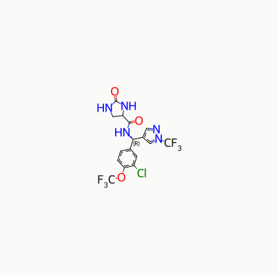 O=C1NCC(C(=O)N[C@H](c2ccc(OC(F)(F)F)c(Cl)c2)c2cnn(C(F)(F)F)c2)N1